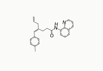 C=CC/C(=C/c1ccc(C)cc1)CCC(=O)Nc1cccc2cccnc12